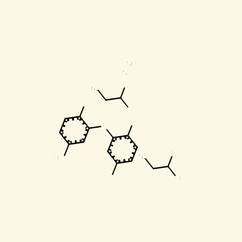 CC(C)(C)c1ccc([O-])c(Sc2cc(C(C)(C)C)ccc2[O-])c1.CCCCC(CC)[CH2][Ni+].CCCCC(CC)[CH2][Ni+].N.N